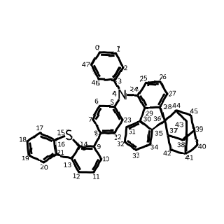 c1ccc(N(c2ccc(-c3cccc4c3sc3ccccc34)cc2)c2cccc3c2-c2ccccc2C32C3CC4CC(C3)CC2C4)cc1